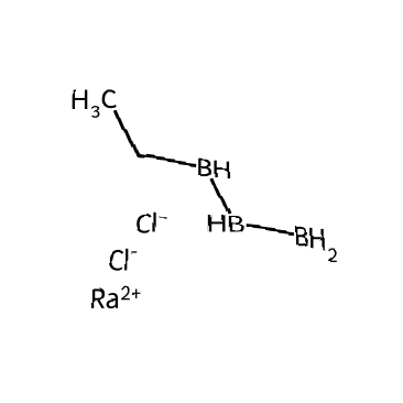 BBBCC.[Cl-].[Cl-].[Ra+2]